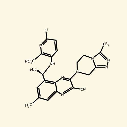 Cc1cc([C@@H](C)Nc2ccc(Cl)nc2C(=O)O)c2nc(N3CCn4c(nnc4C(F)(F)F)C3)c(C#N)nc2c1